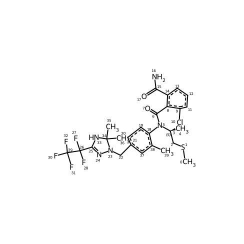 CSC[C@H](C)N(C(=O)c1c(Cl)cccc1C(N)=O)c1ccc(CN2N=C(C(F)(F)C(F)(F)F)NC2(C)C)cc1C